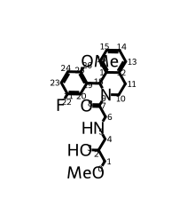 COCC(O)CNCC(=O)N1CCc2ccccc2C1c1cc(F)ccc1OC